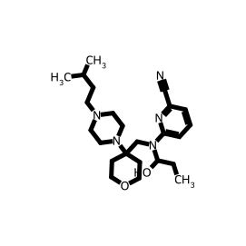 CCC(O)N(CC1(N2CCN(CCC(C)C)CC2)CCOCC1)c1cccc(C#N)n1